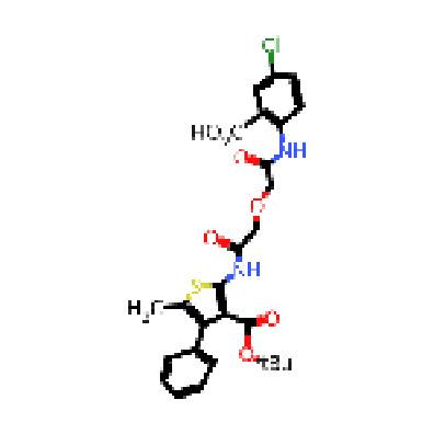 Cc1sc(NC(=O)COCC(=O)Nc2ccc(Cl)cc2C(=O)O)c(C(=O)OC(C)(C)C)c1-c1ccccc1